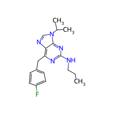 CCCNc1nc(Cc2ccc(F)cc2)c2ncn(C(C)C)c2n1